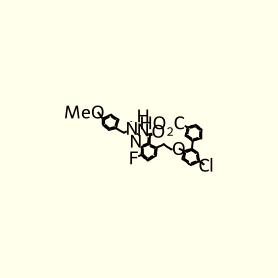 COc1ccc(CN(C)c2nc3c(F)ccc(CCOc4ccc(Cl)cc4-c4cccc(C(=O)O)c4)c3c(=O)[nH]2)cc1